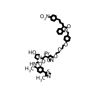 Cc1ncsc1-c1ccc([C@H](C)NC(=O)[C@@H]2C[C@@H](O)CN2C(=O)[C@@H](c2cc(OCCOCCOc3ccc(CN4C(=O)/C(=C/C=C/c5ccc([N+](=O)[O-])cc5)c5ccccc54)cc3)no2)C(C)C)cc1